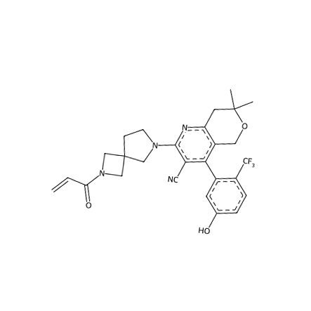 C=CC(=O)N1CC2(CCN(c3nc4c(c(-c5cc(O)ccc5C(F)(F)F)c3C#N)COC(C)(C)C4)C2)C1